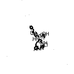 O=C(Nc1ccc2cc1CCc1cccc(c1)Nc1ncc(Cl)c(n1)N2)C1CCN(C(=O)Cc2ccccc2)CC1.O=C(O)C(F)(F)F